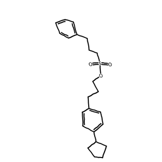 O=S(=O)(CCCc1ccccc1)OCCCc1ccc(C2CCCC2)cc1